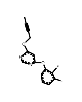 CC#CCOc1cc(Oc2cccc(F)c2F)ncn1